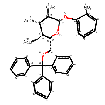 CC(=O)O[C@@H]1[C@@H](OC(C)=O)[C@H](Oc2ccccc2[N+](=O)[O-])O[C@H](COC(c2ccccc2)(c2ccccc2)c2ccccc2)[C@H]1OC(C)=O